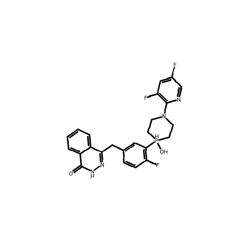 O=c1[nH]nc(Cc2ccc(F)c([PH]3(O)CCN(c4ncc(F)cc4F)CC3)c2)c2ccccc12